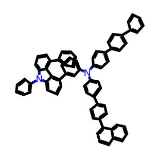 c1ccc(-c2ccc(-c3ccc(N(c4ccc(-c5ccc(-c6cccc7ccccc67)cc5)cc4)c4cccc(-c5cccc6c5c5c(-c7ccccc7)cccc5n6-c5ccccc5)c4)cc3)cc2)cc1